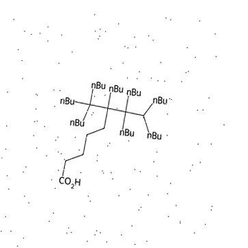 CCCC[C](CCCC)C(CCCC)(CCCC)C(CCCC)(CCCCC(=O)O)C(CCCC)(CCCC)CCCC